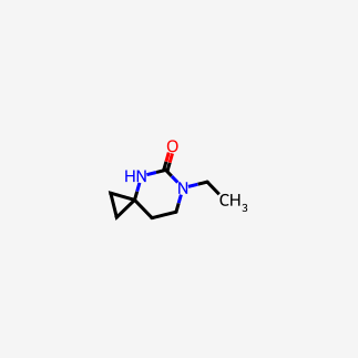 CCN1CCC2(CC2)NC1=O